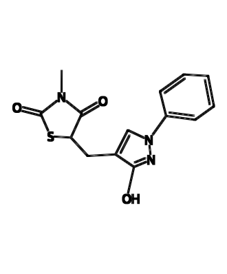 CN1C(=O)SC(Cc2cn(-c3ccccc3)nc2O)C1=O